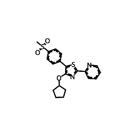 CS(=O)(=O)c1ccc(-c2sc(-c3ccccn3)nc2OC2CCCC2)cc1